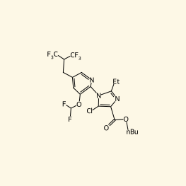 CCCCOC(=O)c1nc(CC)n(-c2ncc(CC(C(F)(F)F)C(F)(F)F)cc2OC(F)F)c1Cl